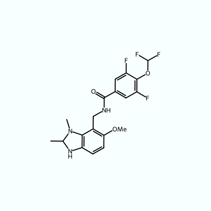 COc1ccc2c(c1CNC(=O)c1cc(F)c(OC(F)F)c(F)c1)N(C)C(C)N2